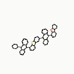 c1ccc(-c2c3ccccc3c(-c3cccc4c3sc3ccc(-c5c6ccccc6c(-c6cccc7c6oc6ccccc67)c6ccccc56)cc34)c3ccccc23)cc1